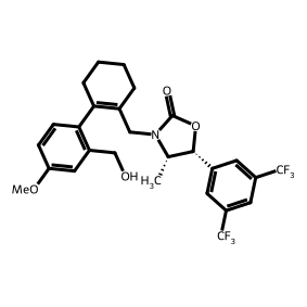 COc1ccc(C2=C(CN3C(=O)O[C@H](c4cc(C(F)(F)F)cc(C(F)(F)F)c4)[C@@H]3C)CCCC2)c(CO)c1